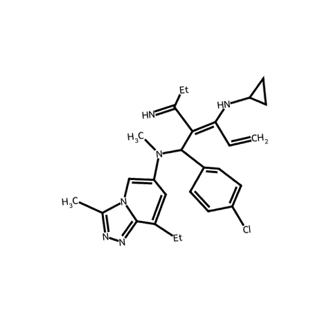 C=C/C(NC1CC1)=C(/C(=N)CC)C(c1ccc(Cl)cc1)N(C)c1cc(CC)c2nnc(C)n2c1